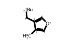 Cc1cocc1CC(C)(C)C